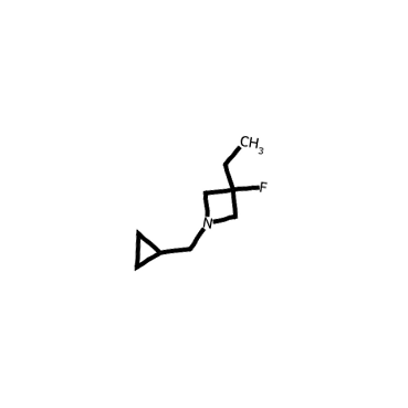 CCC1(F)CN(CC2CC2)C1